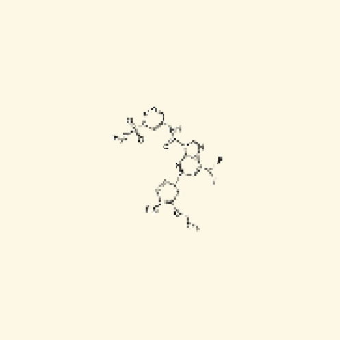 CS(=O)(=O)c1cccc(NC(=O)c2cnn3c(C(F)F)cc(-c4ccc(C(F)(F)F)c(OCC(F)(F)F)c4)nc23)c1